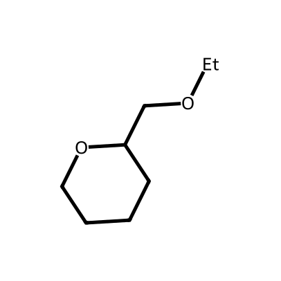 [CH2]COCC1CCCCO1